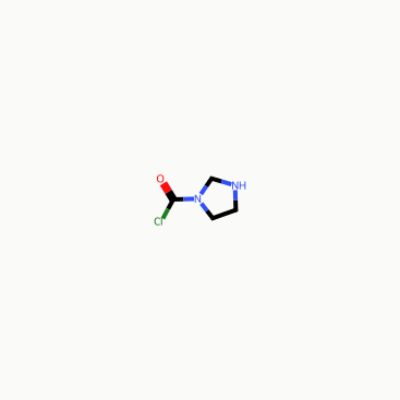 O=C(Cl)N1CCNC1